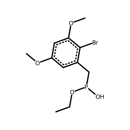 CCOP(O)Cc1cc(OC)cc(OC)c1Br